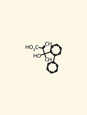 C=C(C(=O)O)C(C)(O)c1ccccc1-c1ccccc1